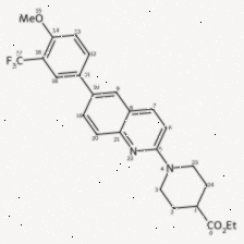 CCOC(=O)C1CCN(c2ccc3cc(-c4ccc(OC)c(C(F)(F)F)c4)ccc3n2)CC1